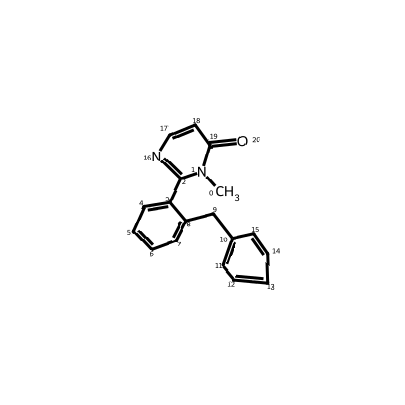 Cn1c(-c2ccccc2Cc2ccccc2)nccc1=O